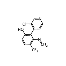 C=Nc1c(C(F)(F)F)ccc(O)c1-c1ccncc1Cl